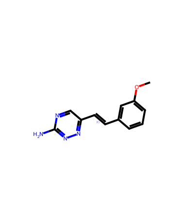 COc1cccc(/C=C/c2cnc(N)nn2)c1